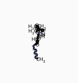 CC/C=C\C/C=C\C/C=C\C/C=C\C/C=C\C/C=C\CCC(=O)N1CC[C@@H](NC(=O)C[C@H](O)C[C@H](O)/C=C/c2c(-c3ccc(F)cc3)nc(N(C)S(C)(=O)=O)nc2C(C)C)C1